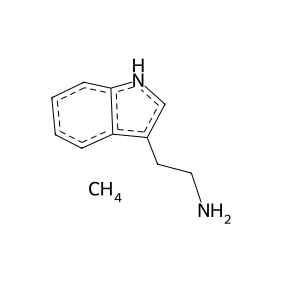 C.NCCc1c[nH]c2ccccc12